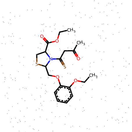 CCOC(=O)C1CSC(COc2ccccc2OCC)N1C(=S)CC(C)=O